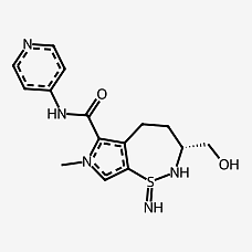 Cn1cc2c(c1C(=O)Nc1ccncc1)CC[C@H](CO)NS2=N